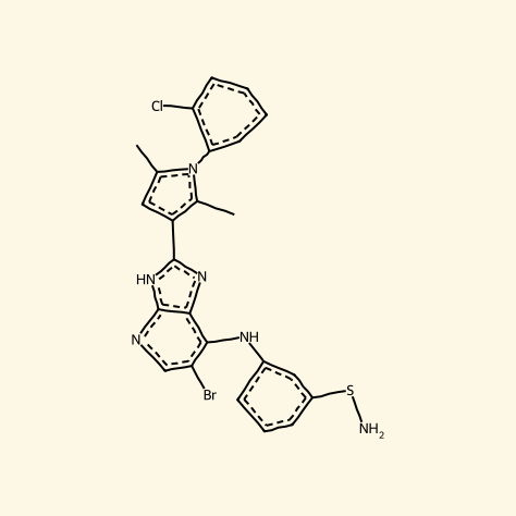 Cc1cc(-c2nc3c(Nc4cccc(SN)c4)c(Br)cnc3[nH]2)c(C)n1-c1ccccc1Cl